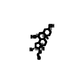 C[C@]12CC[C@H](O)CC1=C[C@H](O)C1C3C[C@@H](Br)[C@H](OC=O)[C@H]3CCC12